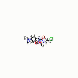 CCN(CC)c1ccc(/C=C2\N=C(C)N(CCCCl)C2=O)c(O)c1